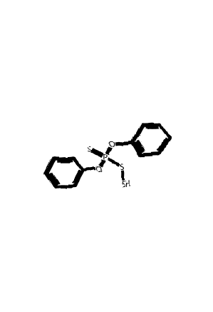 S=P(Oc1ccccc1)(Oc1ccccc1)SS